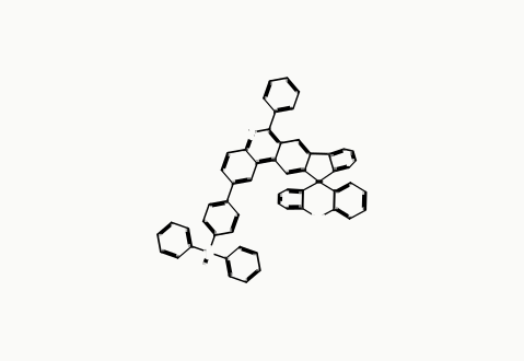 O=P(c1ccccc1)(c1ccccc1)c1ccc(-c2ccc3nc(-c4ccccc4)c4cc5c(cc4c3c2)C2(c3ccccc3Oc3ccccc32)c2ccccc2-5)cc1